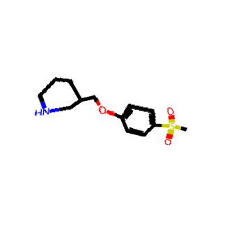 CS(=O)(=O)c1ccc(OCC2CCCNC2)cc1